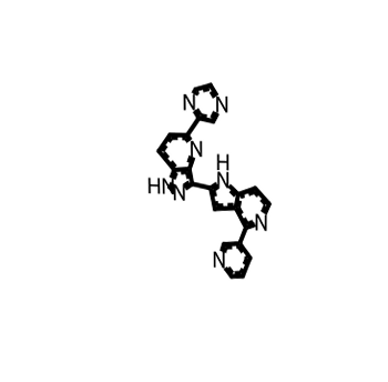 c1cncc(-c2nccc3[nH]c(-c4n[nH]c5ccc(-c6cnccn6)nc45)cc23)c1